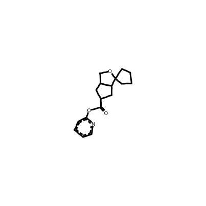 O=C(Oc1ccccn1)C1CC2COC3(CCCC3)C2C1